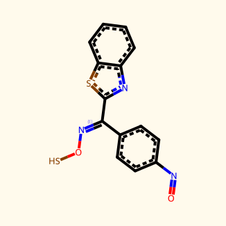 O=Nc1ccc(/C(=N\OS)c2nc3ccccc3s2)cc1